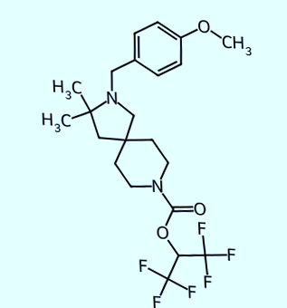 COc1ccc(CN2CC3(CCN(C(=O)OC(C(F)(F)F)C(F)(F)F)CC3)CC2(C)C)cc1